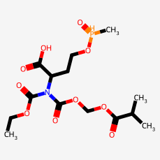 CCOC(=O)N(C(=O)OCOC(=O)C(C)C)C(CCO[PH](C)=O)C(=O)O